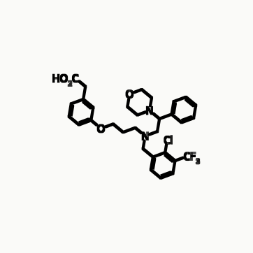 O=C(O)Cc1cccc(OCCCN(Cc2cccc(C(F)(F)F)c2Cl)CC(c2ccccc2)N2CCOCC2)c1